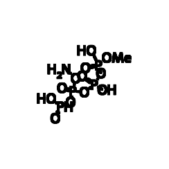 COP(=O)(O)OP(=O)(O)OP(=O)(ON)O[PH](=O)O